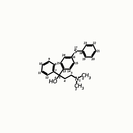 CN(C)CCC(O)(c1ccccc1)c1ccc(Sc2ccccc2)cc1